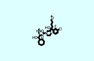 CNC[C@@H](NC(=O)N1CCC[C@@H]([C@@](O)(CCCCOC)c2cccc(Cl)c2F)C1)[C@@H](O)C1CCCCCC1